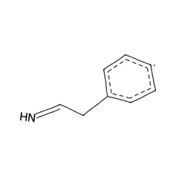 N=CCc1cc[c]cc1